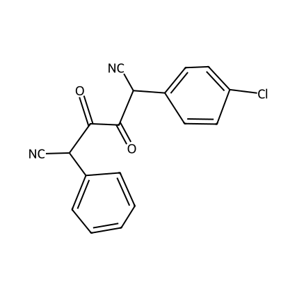 N#CC(C(=O)C(=O)C(C#N)c1ccc(Cl)cc1)c1ccccc1